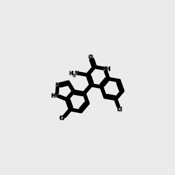 Nc1c(-c2ccc(Cl)c3[nH]ncc23)c2cc(Cl)ccc2[nH]c1=O